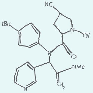 C=C(NC)C(c1cccnc1)N(C(=O)C1CC(C#N)CN1C#N)c1ccc(C(C)(C)C)cc1